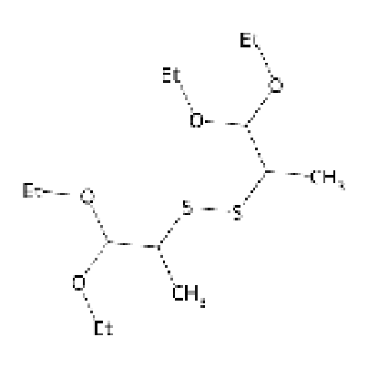 CCOC(OCC)C(C)SSC(C)C(OCC)OCC